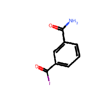 NC(=O)c1cccc(C(=O)I)c1